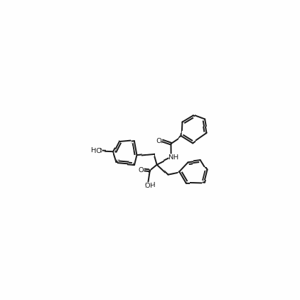 O=C(NC(Cc1ccccc1)(Cc1ccc(O)cc1)C(=O)O)c1ccccc1